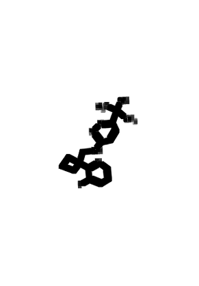 CC(C)(O)c1ccc(NCC2(c3ncccc3F)CCC2)nn1